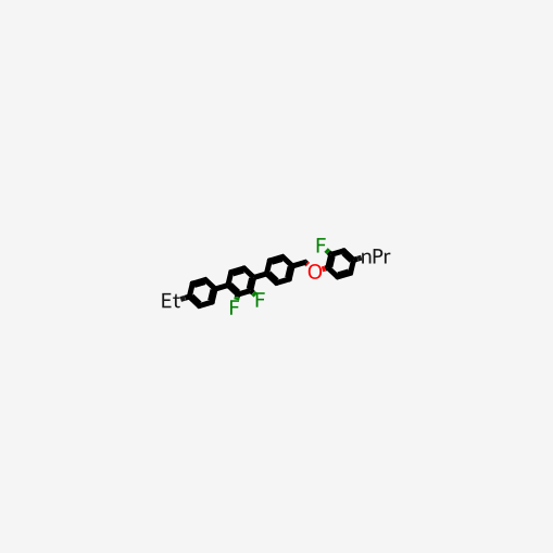 CCCc1ccc(OCc2ccc(-c3ccc(-c4ccc(CC)cc4)c(F)c3F)cc2)c(F)c1